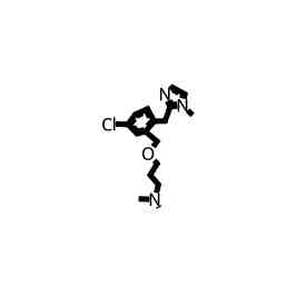 CN(C)CCCOCc1cc(Cl)ccc1Cc1nccn1C